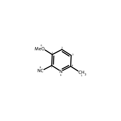 COc1ccc(C)nc1C#N